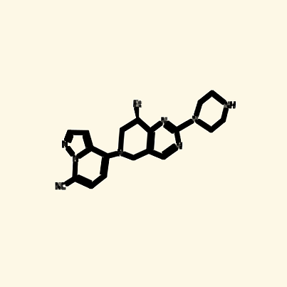 CC[C@@H]1CN(c2ccc(C#N)n3nccc23)Cc2cnc(N3CCNCC3)nc21